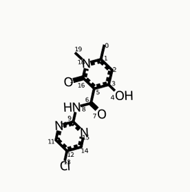 Cc1cc(O)c(C(=O)Nc2ncc(Cl)cn2)c(=O)n1C